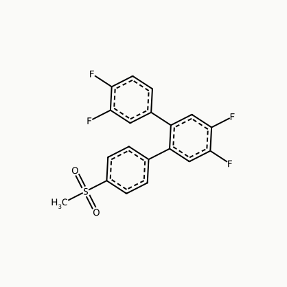 CS(=O)(=O)c1ccc(-c2cc(F)c(F)cc2-c2ccc(F)c(F)c2)cc1